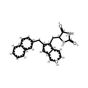 O=C1NC(=O)C(Cc2c(Cc3ccc4ccccc4c3)cc3coccc2-3)S1